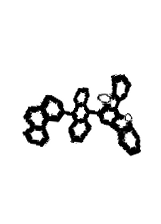 c1ccc2c(c1)ccc1ccc(-c3c4ccccc4c(-c4cc5c6ccccc6oc5c5c4oc4ccccc45)c4ccccc34)cc12